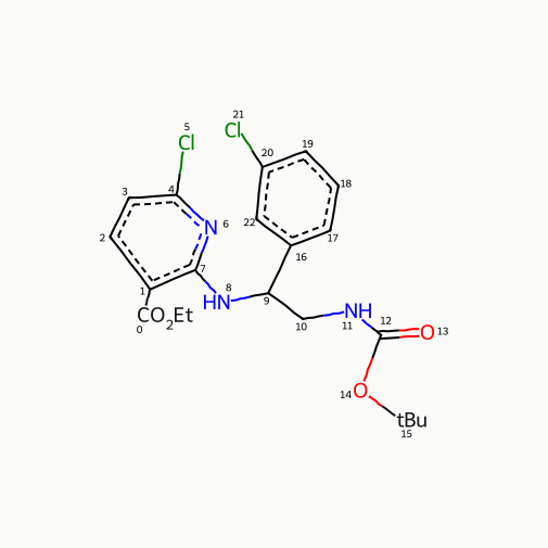 CCOC(=O)c1ccc(Cl)nc1NC(CNC(=O)OC(C)(C)C)c1cccc(Cl)c1